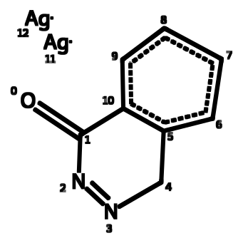 O=C1N=NCc2ccccc21.[Ag].[Ag]